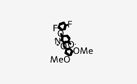 COc1cc(OC)cc(Oc2c([O])ccc(Oc3cc(F)ccc3F)c2N(C)C)c1